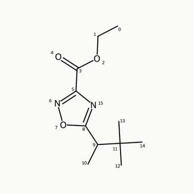 CCOC(=O)c1noc(C(C)C(C)(C)C)n1